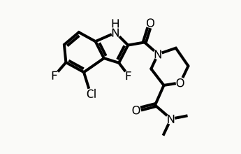 CN(C)C(=O)C1CN(C(=O)c2[nH]c3ccc(F)c(Cl)c3c2F)CCO1